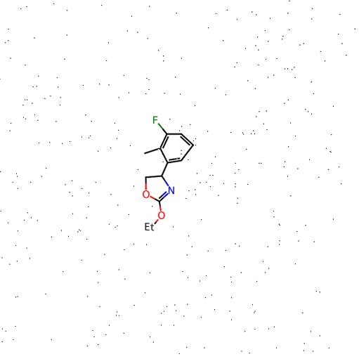 CCOC1=NC(c2cccc(F)c2C)CO1